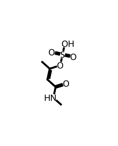 CNC(=O)C=C(C)OS(=O)(=O)O